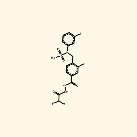 CS(=O)(=O)N(Cc1ccc(C(=O)NNC(=O)C(F)F)cc1F)c1cccc(Cl)c1